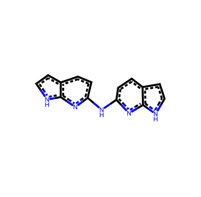 c1cc2ccc(Nc3ccc4cc[nH]c4n3)nc2[nH]1